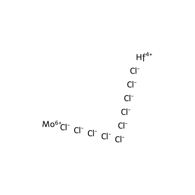 [Cl-].[Cl-].[Cl-].[Cl-].[Cl-].[Cl-].[Cl-].[Cl-].[Cl-].[Cl-].[Hf+4].[Mo+6]